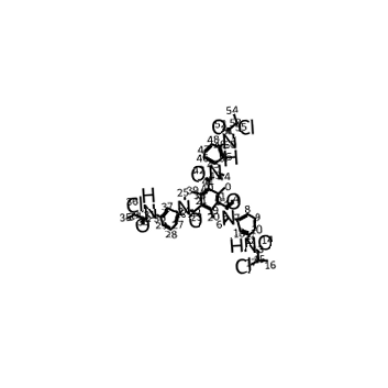 Cc1c(C(=O)N(C)c2cccc(NC(=O)C(C)Cl)c2)c(C)c(C(=O)N(C)c2cccc(NC(=O)C(C)Cl)c2)c(C)c1C(=O)N(C)c1cccc(NC(=O)C(C)Cl)c1